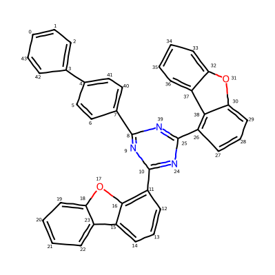 c1ccc(-c2ccc(-c3nc(-c4cccc5c4oc4ccccc45)nc(-c4cccc5oc6ccccc6c45)n3)cc2)cc1